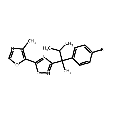 Cc1ncoc1-c1nc(C(C)(c2ccc(Br)cc2)C(C)C)no1